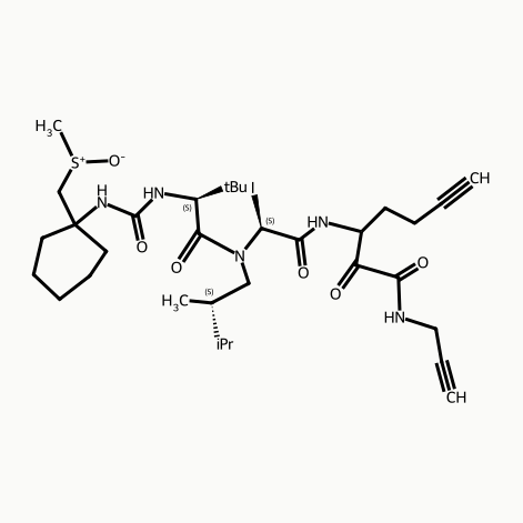 C#CCCC(NC(=O)[C@H](I)N(C[C@@H](C)C(C)C)C(=O)[C@@H](NC(=O)NC1(C[S+](C)[O-])CCCCC1)C(C)(C)C)C(=O)C(=O)NCC#C